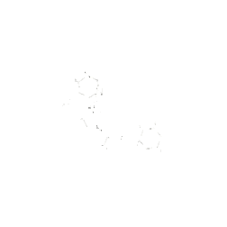 O=C(OCc1ccccc1)N1C=CN(c2ncncc2I)C1I